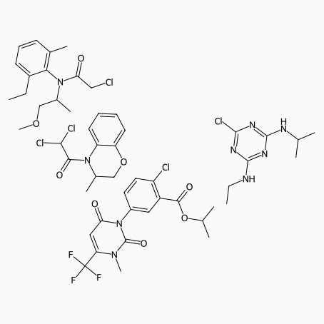 CC(C)OC(=O)c1cc(-n2c(=O)cc(C(F)(F)F)n(C)c2=O)ccc1Cl.CC1COc2ccccc2N1C(=O)C(Cl)Cl.CCNc1nc(Cl)nc(NC(C)C)n1.CCc1cccc(C)c1N(C(=O)CCl)C(C)COC